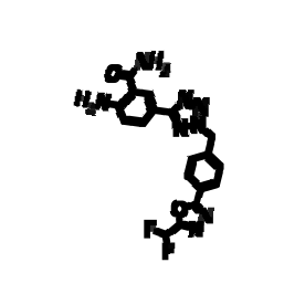 NC(=O)c1cc(-c2nnn(Cc3ccc(-c4nnc(C(F)F)o4)cc3)n2)ccc1N